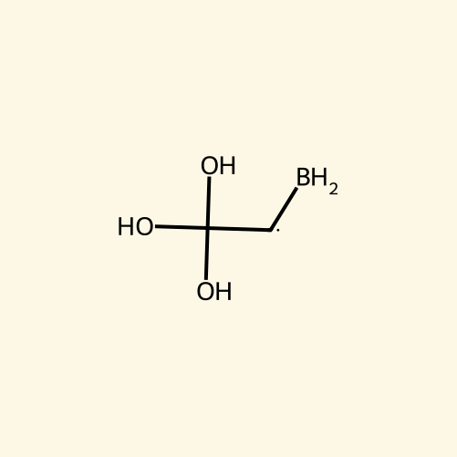 B[CH]C(O)(O)O